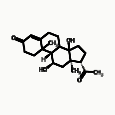 CC(=O)[C@H]1CC[C@@]2(O)C3CCC4=CC(=O)CCC4(C)[C@H]3[C@H](O)C[C@]12C